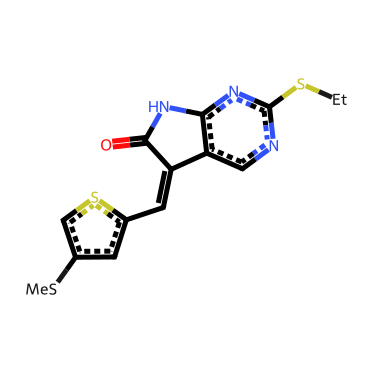 CCSc1ncc2c(n1)NC(=O)C2=Cc1cc(SC)cs1